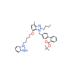 CCCCc1nc2c(C)ccc(OCCCCCN3CNC4C=CC=CC43)c2n1Cc1ccc(-c2ccccc2C(=O)OC(C)(C)C)cc1